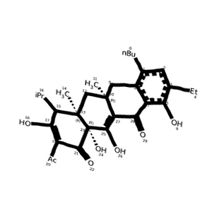 CCCCc1cc(CC)c(O)c2c1C[C@]1(C)C[C@]3(C)C(C(C)C)C(O)=C(C(C)=O)C(=O)[C@]3(O)C(O)=C1C2=O